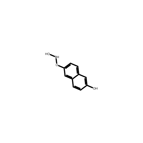 OBOc1ccc2cc(O)ccc2c1